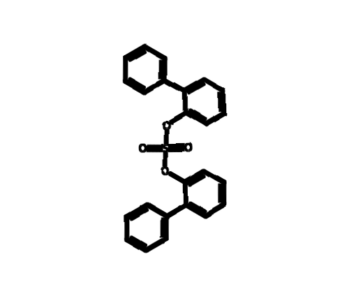 O=S(=O)(Oc1ccccc1-c1ccccc1)Oc1ccccc1-c1ccccc1